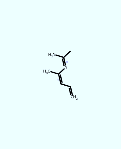 C=C/C=C(C)\N=C(/N)I